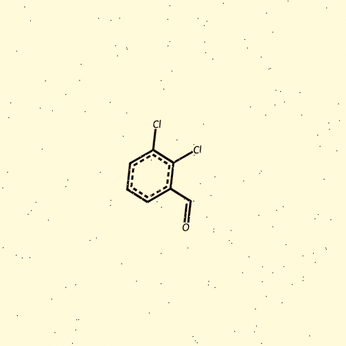 O=[C]c1cccc(Cl)c1Cl